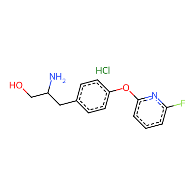 Cl.NC(CO)Cc1ccc(Oc2cccc(F)n2)cc1